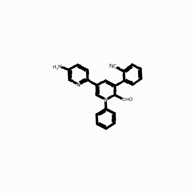 N#Cc1ccccc1C1=CC(c2ccc(N)cn2)=CN(c2ccccc2)C1C=O